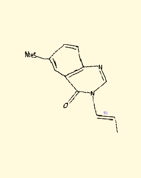 C/C=C/n1cnc2ccc(SC)cc2c1=O